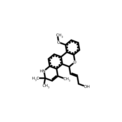 COc1cccc2c1-c1ccc3c(c1C(C=CCO)O2)C(C)=CC(C)(C)N3